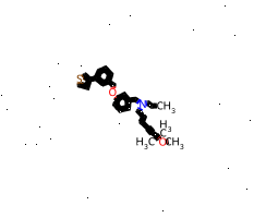 CCCN(C/C=C/C#CC(C)(C)OC)Cc1cccc(OCc2cccc(-c3ccsc3)c2)c1